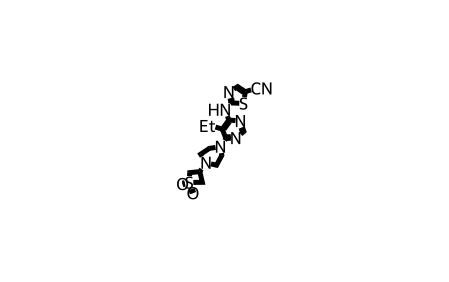 CCc1c(Nc2ncc(C#N)s2)ncnc1N1CCN(C2CS(=O)(=O)C2)CC1